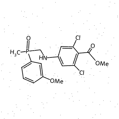 COC(=O)c1c(Cl)cc(NCP(C)(=O)c2cccc(OC)c2)cc1Cl